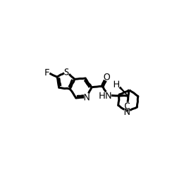 O=C(N[C@H]1CN2CCC1CC2)c1cc2sc(F)cc2cn1